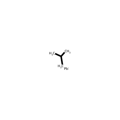 CC(C)C.[Pb]